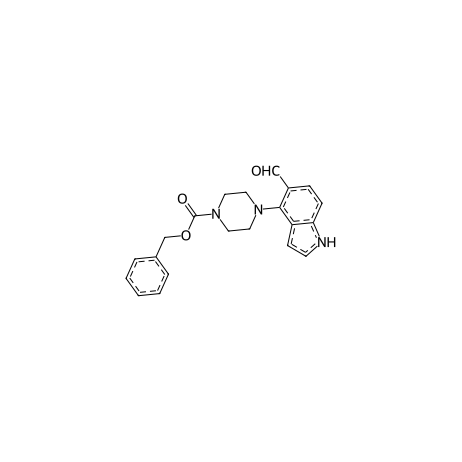 O=Cc1ccc2[nH]ccc2c1N1CCN(C(=O)OCc2ccccc2)CC1